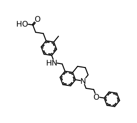 Cc1cc(NCc2cccc3c2CCCN3CCOc2ccccc2)ccc1CCC(=O)O